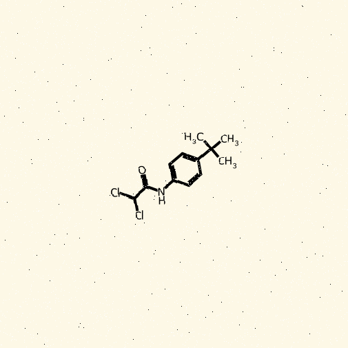 CC(C)(C)c1ccc(NC(=O)C(Cl)Cl)cc1